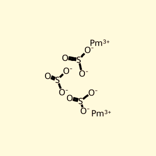 O=S([O-])[O-].O=S([O-])[O-].O=S([O-])[O-].[Pm+3].[Pm+3]